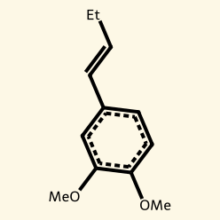 [CH2]CC=Cc1ccc(OC)c(OC)c1